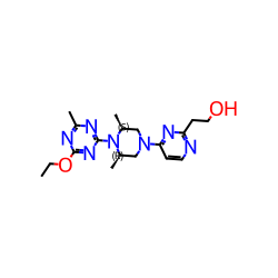 CCOc1nc(C)nc(N2[C@H](C)CN(c3ccnc(CCO)n3)C[C@@H]2C)n1